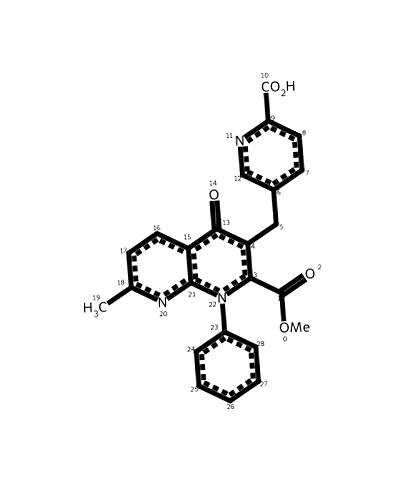 COC(=O)c1c(Cc2ccc(C(=O)O)nc2)c(=O)c2ccc(C)nc2n1-c1ccccc1